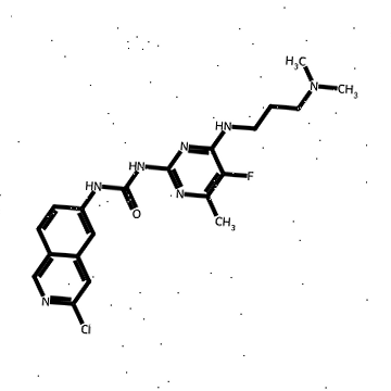 Cc1nc(NC(=O)Nc2ccc3cnc(Cl)cc3c2)nc(NCCCN(C)C)c1F